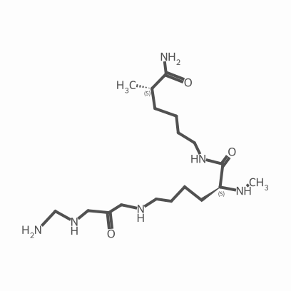 CN[C@@H](CCCCNCC(=O)CNCN)C(=O)NCCCC[C@H](C)C(N)=O